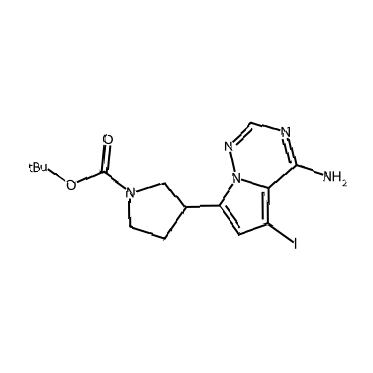 CC(C)(C)OC(=O)N1CCC(c2cc(I)c3c(N)ncnn23)C1